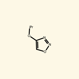 CC(C)Oc1conn1